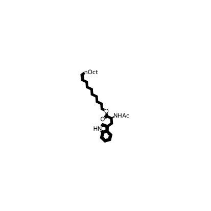 CCCCCCCC/C=C\CCCCCCCCOC(=O)[C@H](Cc1c[nH]c2ccccc12)NC(C)=O